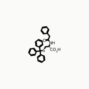 O=C(Cc1ccccc1)N[C@@H](CSC(c1ccccc1)(c1ccccc1)c1ccccc1)C(=O)O